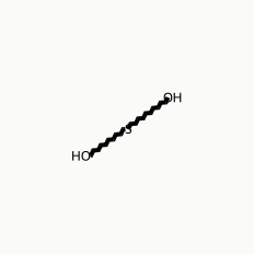 OCCCCCCCCCCSCCCCCCCCCCO